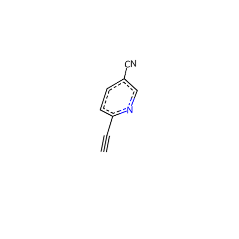 C#Cc1ccc(C#N)cn1